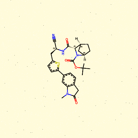 CN1C(=O)Cc2ccc(-c3ccc(C[C@@H](C#N)NC(=O)[C@@H]4[C@H]5CC[C@H](C5)N4C(=O)OC(C)(C)C)s3)cc21